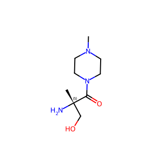 CN1CCN(C(=O)[C@@](C)(N)CO)CC1